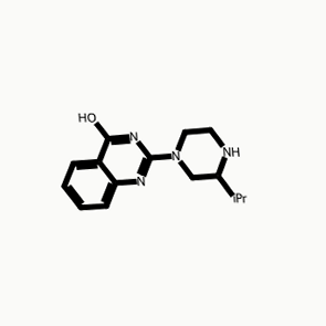 CC(C)C1CN(c2nc(O)c3ccccc3n2)CCN1